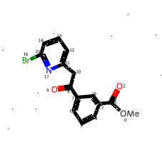 COC(=O)c1cccc(C(=O)Cc2cccc(Br)n2)c1